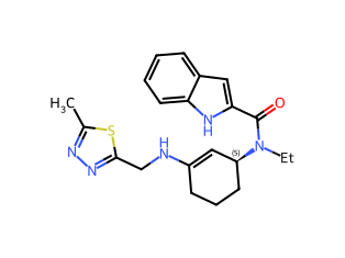 CCN(C(=O)c1cc2ccccc2[nH]1)[C@@H]1C=C(NCc2nnc(C)s2)CCC1